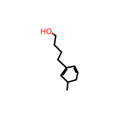 CC1C=C(CCCCO)C=CC1